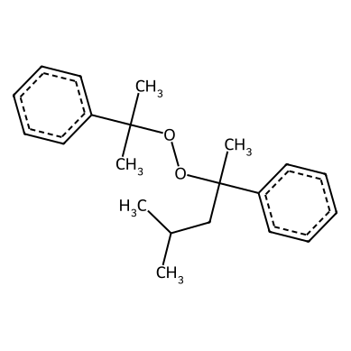 CC(C)CC(C)(OOC(C)(C)c1ccccc1)c1ccccc1